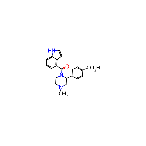 CN1CCN(C(=O)c2cccc3[nH]ccc23)C(c2ccc(C(=O)O)cc2)C1